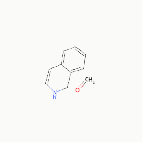 C1=Cc2ccccc2CN1.C=O